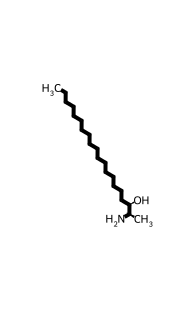 CCCCCCCCCCCCCCCCC[C@H](O)[C@@H](C)N